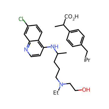 CC(C)Cc1ccc(C(C)C(=O)O)cc1.CCN(CCO)CCCC(C)Nc1ccnc2cc(Cl)ccc12